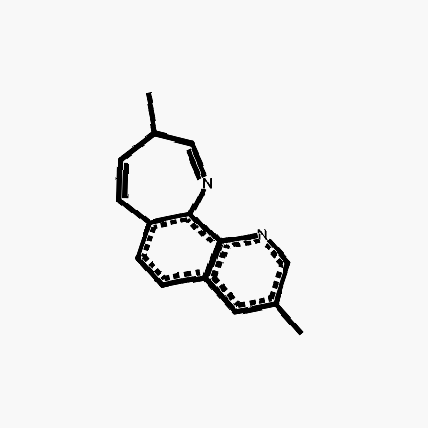 Cc1cnc2c3c(ccc2c1)C=CC(C)C=N3